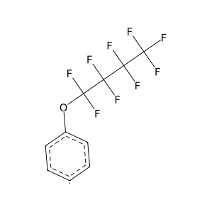 FC(F)(F)C(F)(F)C(F)(F)C(F)(F)Oc1cc[c]cc1